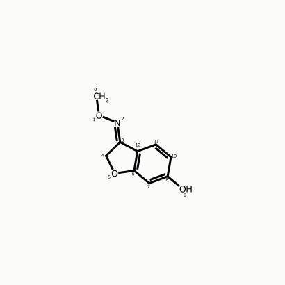 CO/N=C1\COc2cc(O)ccc21